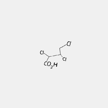 O=C(O)C(Cl)C(Cl)CCl